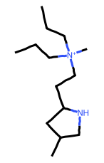 CCC[N+](C)(CCC)CCC1CC(C)CN1